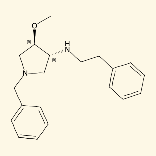 CO[C@@H]1CN(Cc2ccccc2)C[C@H]1NCCc1ccccc1